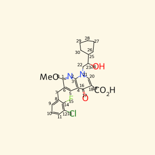 COc1nc2c(cc1Cc1cccc(Cl)c1F)c(=O)c(C(=O)O)cn2CC(O)C1CCCCC1